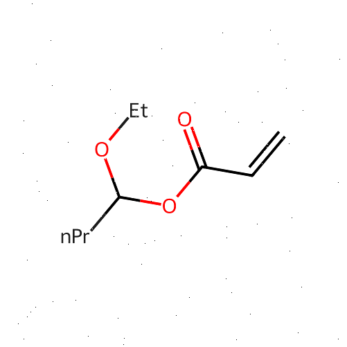 C=CC(=O)OC(CCC)OCC